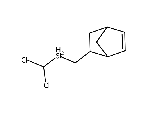 ClC(Cl)[SiH2]CC1CC2C=CC1C2